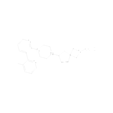 CCOC(=O)N1CC2(CCC(N3CCN(c4ncccc4-c4ncccc4F)CC3)C2)C1